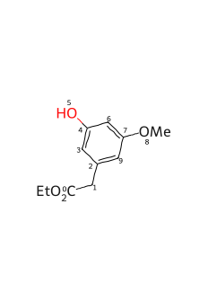 CCOC(=O)Cc1cc(O)cc(OC)c1